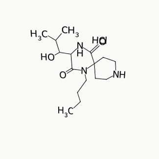 CCCCN1C(=O)C(C(O)C(C)C)NC(=O)C12CCNCC2.Cl